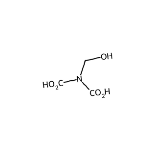 O=C(O)N(CO)C(=O)O